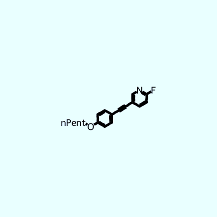 CCCCCOc1ccc(C#Cc2ccc(F)nc2)cc1